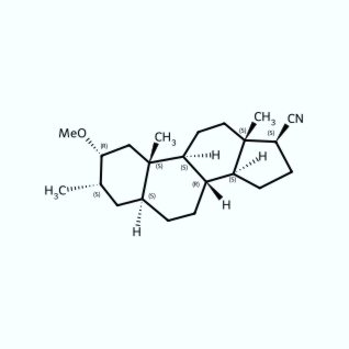 CO[C@@H]1C[C@@]2(C)[C@@H](CC[C@@H]3[C@@H]2CC[C@]2(C)[C@@H](C#N)CC[C@@H]32)C[C@@H]1C